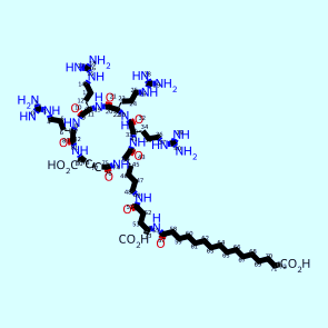 N=C(N)NCCC[C@@H]1NC(=O)[C@H](CCCNC(=N)N)NC(=O)[C@H](CCCNC(=N)N)NC(=O)[C@H](CCCNC(=N)N)NC(=O)[C@H](CCCCNC(=O)CCC(NC(=O)CCCCCCCCCCCCCCC(=O)O)C(=O)O)NC(=O)CC[C@@H](C(=O)O)NC1=O